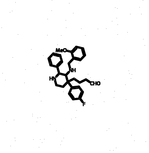 COc1ccccc1CNC1C(c2ccccc2)NCCC1(CCCC=O)c1ccc(F)cc1